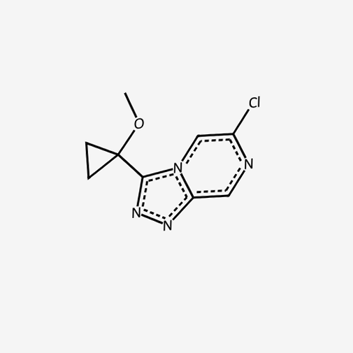 COC1(c2nnc3cnc(Cl)cn23)CC1